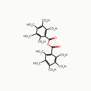 O=C(O)c1c(C(=O)O)c(C(=O)O)c(C(=O)OC(=O)c2c(C(=O)O)c(C(=O)O)c(C(=O)O)c(C(=O)O)c2C(=O)O)c(C(=O)O)c1C(=O)O